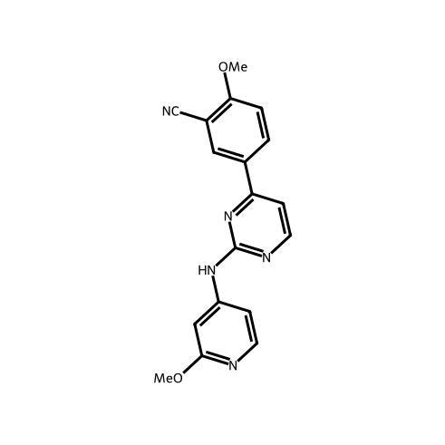 COc1cc(Nc2nccc(-c3ccc(OC)c(C#N)c3)n2)ccn1